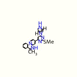 CSc1nc(-c2ccnc(N[C@@H](C)c3ccccc3)c2)cc(N2C[C@@H]3C[C@H]2CN3)n1